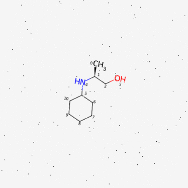 C[C@@H](CO)NC1CCCCC1